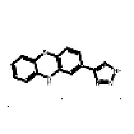 c1ccc2c(c1)Nc1cc(-c3c[nH]nn3)ccc1S2